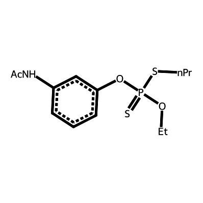 CCCSP(=S)(OCC)Oc1cccc(NC(C)=O)c1